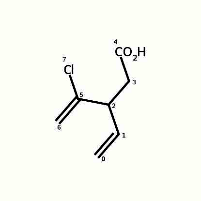 C=CC(CC(=O)O)C(=C)Cl